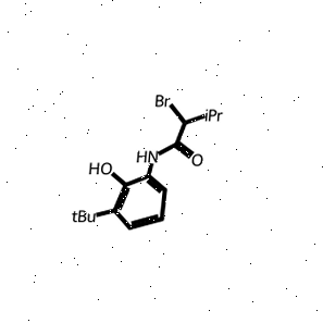 CC(C)C(Br)C(=O)Nc1cccc(C(C)(C)C)c1O